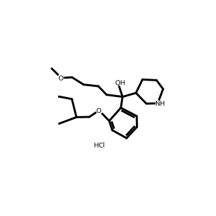 CCC(C)COc1ccccc1C(O)(CCCCOC)C1CCCNC1.Cl